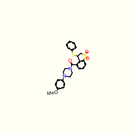 COc1ccc(N2CCN(C(=O)c3cccc4c3C(Sc3ccccc3)CS4(=O)=O)CC2)cc1